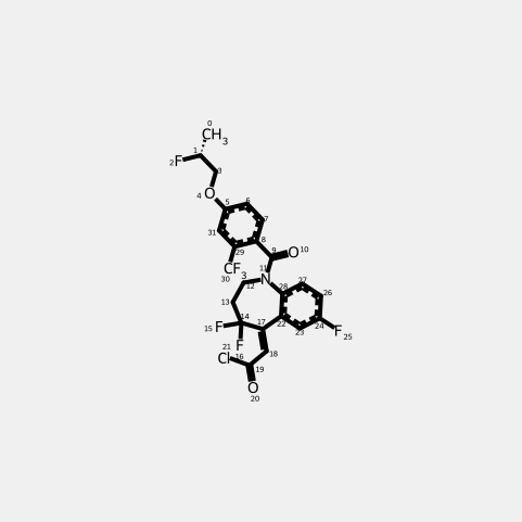 C[C@@H](F)COc1ccc(C(=O)N2CCC(F)(F)C(=CC(=O)Cl)c3cc(F)ccc32)c(C(F)(F)F)c1